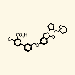 O=C(O)c1cc(-c2cccc(COc3ccc4c(c3)CN(C3CCCC3OC3CCCCO3)C4=O)c2)ccc1Cl